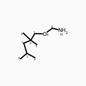 CC(C)CC(C)(C)COCN